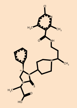 Cc1cc(Cl)nc(C)c1C(=O)NCCC(C)N1CCC(N2C(=S)N(C(C)C(=O)O)C[C@H]2c2ccccc2)CC1